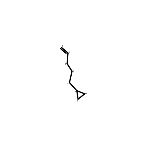 [CH]=CCCCC1CC1